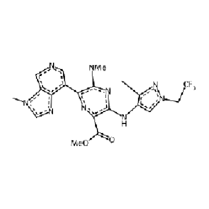 CNc1nc(Nc2cn(CC(F)(F)F)nc2C)c(C(=O)OC)nc1-c1cncc2c1ncn2C